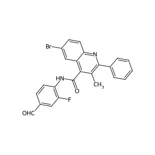 Cc1c(-c2ccccc2)nc2ccc(Br)cc2c1C(=O)Nc1ccc(C=O)cc1F